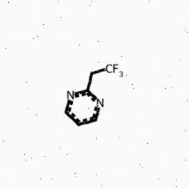 FC(F)(F)Cc1ncccn1